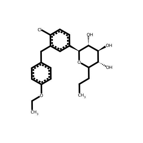 CCCC1O[C@@H](c2ccc(Cl)c(Cc3ccc(OCC)cc3)c2)[C@H](O)[C@@H](O)[C@@H]1O